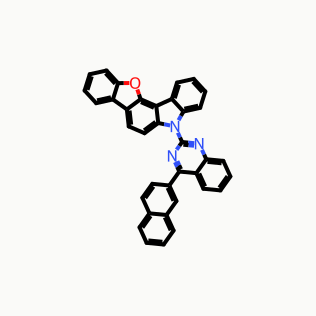 c1ccc2cc(-c3nc(-n4c5ccccc5c5c6oc7ccccc7c6ccc54)nc4ccccc34)ccc2c1